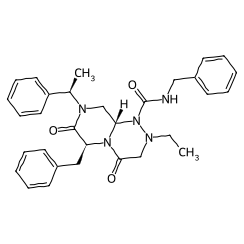 CCN1CC(=O)N2[C@@H](Cc3ccccc3)C(=O)N([C@H](C)c3ccccc3)C[C@@H]2N1C(=O)NCc1ccccc1